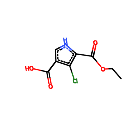 CCOC(=O)c1[nH]cc(C(=O)O)c1Cl